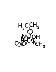 CC(C)c1ccc(C(O)(c2cnnc(O[C@H]3CCOC3)c2)C2(C)CN(C)C2)cc1